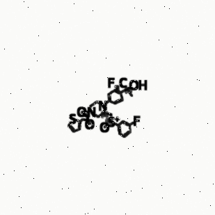 C[C@](O)(c1ccc(N2CCN(S(=O)(=O)c3cccs3)C[C@@H]2C[S@+]([O-])c2cccc(F)c2)cc1)C(F)(F)F